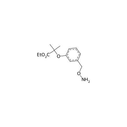 CCOC(=O)C(C)(C)Oc1cccc(CON)c1